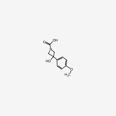 COc1ccc(C2(O)CN(C(=O)O)C2)cc1